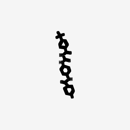 Cc1ccc(C(=O)Nc2ccc(NC(=S)NC(=O)c3ccc(C(C)(C)C)cc3)cc2)cc1